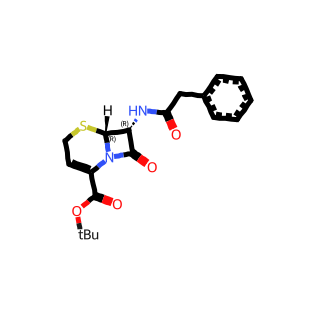 CC(C)(C)OC(=O)C1=CCS[C@@H]2[C@H](NC(=O)Cc3ccccc3)C(=O)N12